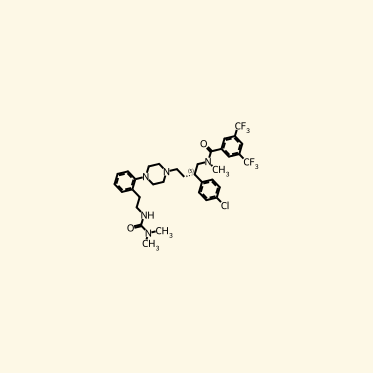 CN(C)C(=O)NCCc1ccccc1N1CCN(CC[C@H](CN(C)C(=O)c2cc(C(F)(F)F)cc(C(F)(F)F)c2)c2ccc(Cl)cc2)CC1